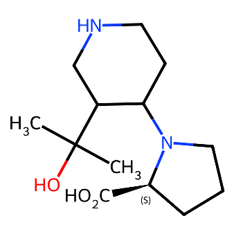 CC(C)(O)C1CNCCC1N1CCC[C@H]1C(=O)O